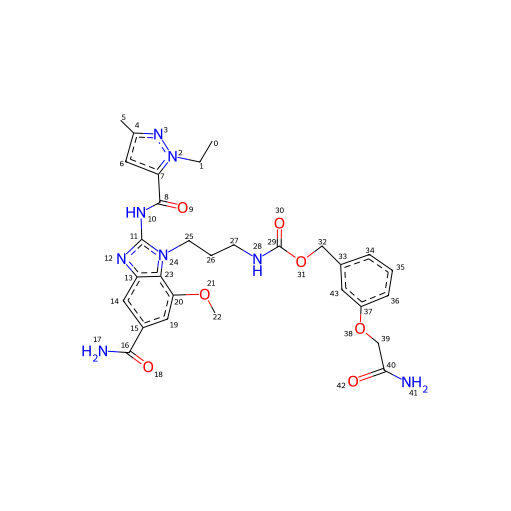 CCn1nc(C)cc1C(=O)Nc1nc2cc(C(N)=O)cc(OC)c2n1CCCNC(=O)OCc1cccc(OCC(N)=O)c1